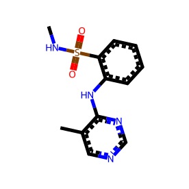 CNS(=O)(=O)c1ccccc1Nc1ncncc1C